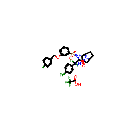 NC1CC2CCC(C1)N2C(=O)C(NS(=O)(=O)c1cccc(OCc2ccc(F)cc2)c1)C(F)(F)c1ccc(Br)cc1.O=C(O)C(F)(F)F